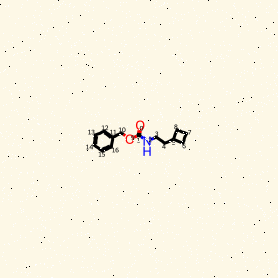 O=C(NCCC1CCC1)OCc1ccccc1